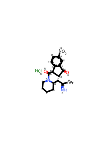 CCCC(=N)CC1CCCCN1C(=O)C1CC(=O)c2cc([N+](=O)[O-])ccc21.Cl